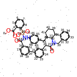 COC(=O)c1ccccc1S(=O)(=O)NC(=O)c1cccc(-c2cccc(CC(=O)N(Cc3ccccc3)[C@@H]3CCCC[C@@H]3Cc3ccccc3)c2)c1